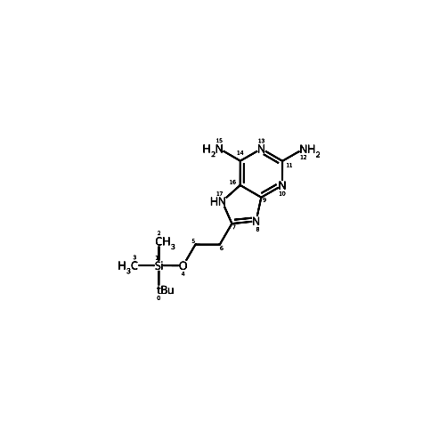 CC(C)(C)[Si](C)(C)OCCc1nc2nc(N)nc(N)c2[nH]1